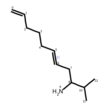 C=CCCC/C=C/CC(N)C(C)C